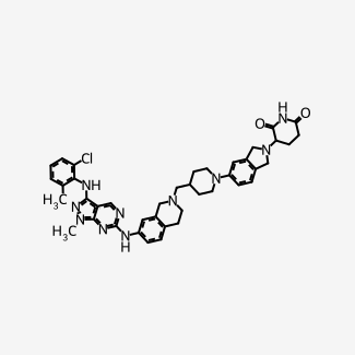 Cc1cccc(Cl)c1Nc1nn(C)c2nc(Nc3ccc4c(c3)CN(CC3CCN(c5ccc6c(c5)CN(C5CCC(=O)NC5=O)C6)CC3)CC4)ncc12